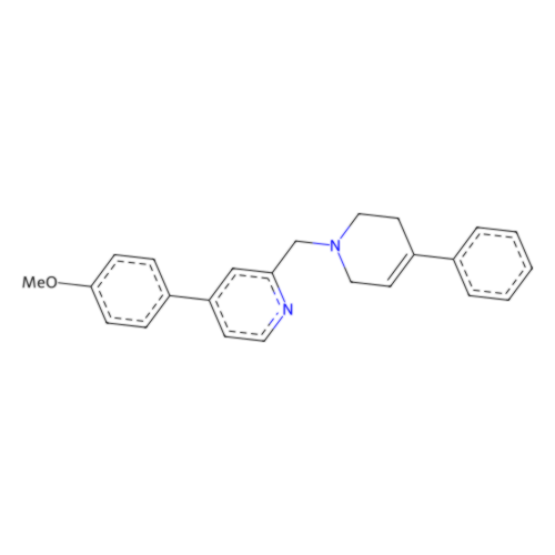 COc1ccc(-c2ccnc(CN3CC=C(c4ccccc4)CC3)c2)cc1